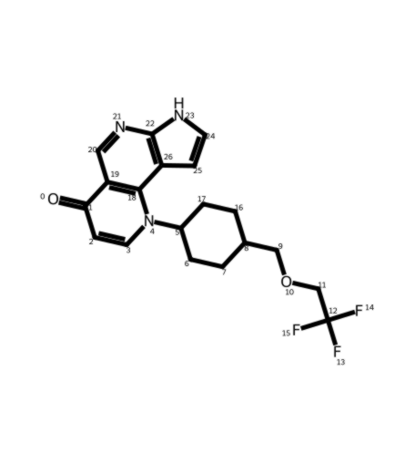 O=c1ccn(C2CCC(COCC(F)(F)F)CC2)c2c1cnc1[nH]ccc12